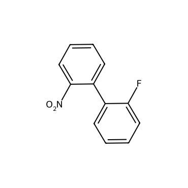 O=[N+]([O-])c1ccccc1-c1ccccc1F